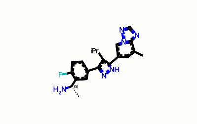 Cc1cc(-c2[nH]nc(-c3ccc(F)c([C@H](C)N)c3)c2C(C)C)cn2ncnc12